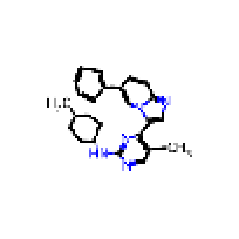 Cc1cnc(N[C@H]2CC[C@H](C)CC2)nc1-c1cnc2ccc(-c3ccccc3)cn12